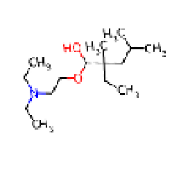 CCN(CC)CCOC(O)C(C)(CC)CC(C)C